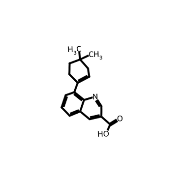 CC1(C)CC=C(c2cccc3cc(C(=O)O)cnc23)CC1